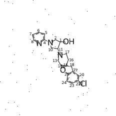 OC1CN(c2ccccn2)CC1N1CCC2(CC1)Cc1cc(Cl)ccc1O2